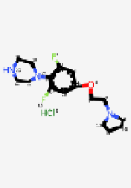 Cl.Fc1cc(OCCN2CCCC2)cc(F)c1N1CCNCC1